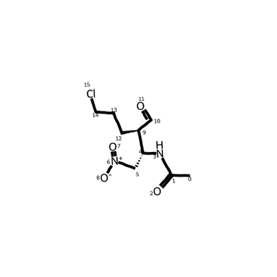 CC(=O)N[C@H](C[N+](=O)[O-])[C@H](C=O)CCCCl